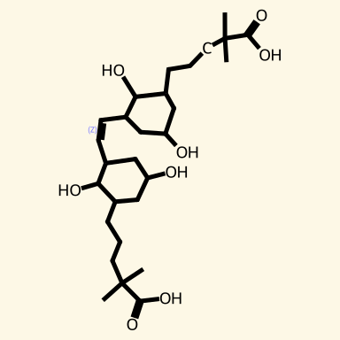 CC(C)(CCCC1CC(O)CC(/C=C\C2CC(O)CC(CCCC(C)(C)C(=O)O)C2O)C1O)C(=O)O